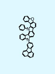 c1ccc(-n2c3c(ccc4oc5ccccc5c43)c3ccc4c(c5ccccc5n4-c4ccc5c(c4)-c4cccc6cccc-5c46)c32)cc1